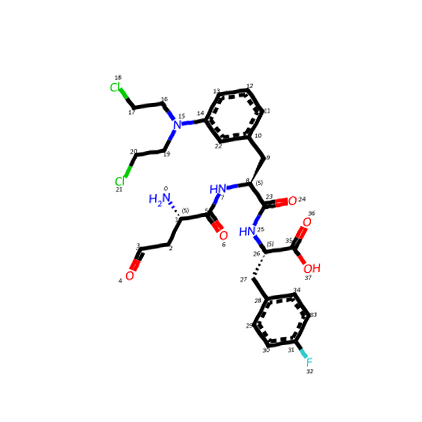 N[C@@H](C[C]=O)C(=O)N[C@@H](Cc1cccc(N(CCCl)CCCl)c1)C(=O)N[C@@H](Cc1ccc(F)cc1)C(=O)O